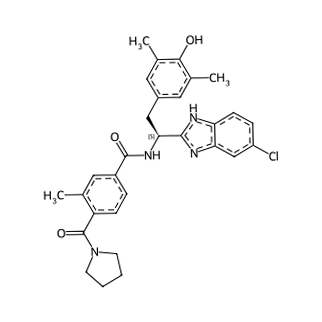 Cc1cc(C(=O)N[C@@H](Cc2cc(C)c(O)c(C)c2)c2nc3cc(Cl)ccc3[nH]2)ccc1C(=O)N1CCCC1